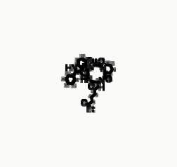 CCC(=O)CCCCC[C@@H]1NC(=O)[C@H]2CCCCN2C(=O)[C@H]([C@H](C)CC)NC(=O)[C@H](Cc2c(-c3ccccc3)[nH]c3ccccc23)NC1=O